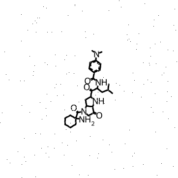 CC(C)CC(NC(=O)c1ccc(N(C)C)cc1)C(=O)C1CC2C(N1)C(=O)CN2C(=O)C1(N)CCCCC1